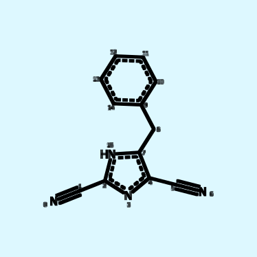 N#Cc1nc(C#N)c(Cc2ccccc2)[nH]1